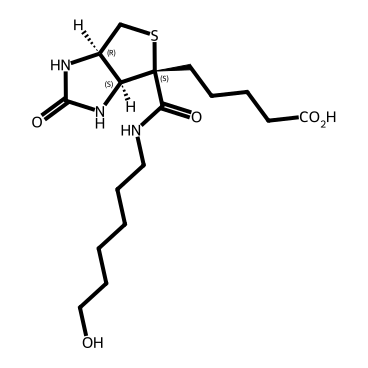 O=C(O)CCCC[C@]1(C(=O)NCCCCCCO)SC[C@@H]2NC(=O)N[C@@H]21